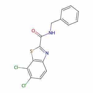 O=C(NCc1ccccc1)c1nc2ccc(Cl)c(Cl)c2s1